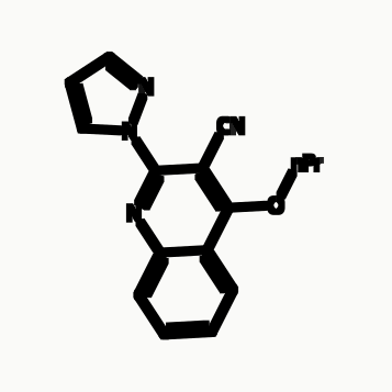 CCCOc1c(C#N)c(-n2cccn2)nc2ccccc12